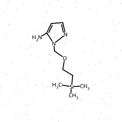 C[Si](C)(C)CCOCn1nccc1N